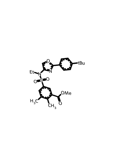 CCN(c1coc(-c2ccc(C(C)(C)C)cc2)n1)S(=O)(=O)c1cc(C)c(C)c(C(=O)OC)c1